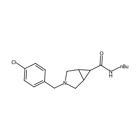 CCCCNC(=O)C1C2CN(Cc3ccc(Cl)cc3)CC21